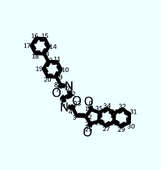 O=C1C(=Cc2nc3oc(-c4ccc(-c5ccccc5)cc4)nc3o2)C(=O)c2cc3ccccc3cc21